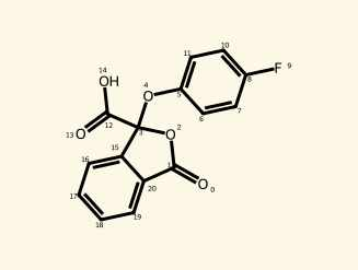 O=C1OC(Oc2ccc(F)cc2)(C(=O)O)c2ccccc21